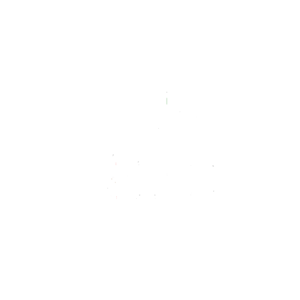 CCS(=O)(=O)c1ccc(C2=C(c3ccc(F)cc3)CCC2)cc1